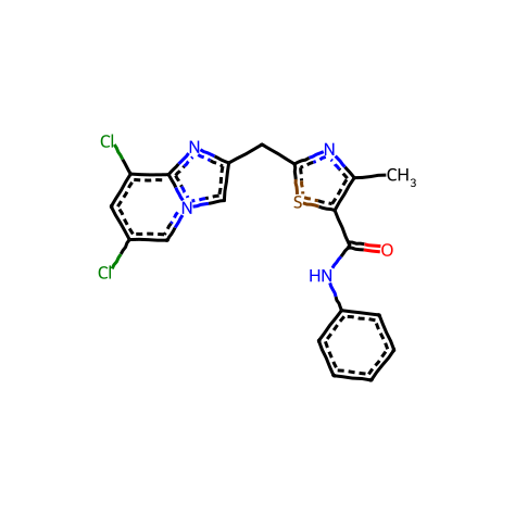 Cc1nc(Cc2cn3cc(Cl)cc(Cl)c3n2)sc1C(=O)Nc1ccccc1